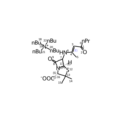 CCCC(=O)/C=C(\C)NC1C(=O)N2[C@@H]1SC(C)(C)[C@@H]2C(=O)[O-].CCCC[N+](CCCC)(CCCC)CCCC